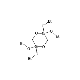 CCO[Si]1(OCC)CO[Si](OCC)(OCC)CO1